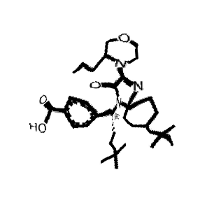 CCCC1COCCN1C1=NC2(CCC(C(C)(C)C)CC2)N([C@H](CCC(C)(C)C)c2ccc(C(=O)O)cc2)C1=O